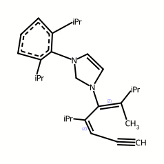 C#C/C=C(\C(=C(/C)C(C)C)N1C=CN(c2c(C(C)C)cccc2C(C)C)C1)C(C)C